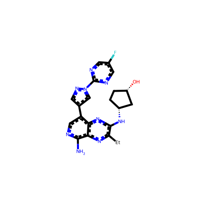 CCc1nc2c(N)ncc(-c3cnn(-c4ncc(F)cn4)c3)c2nc1N[C@@H]1CC[C@H](O)C1